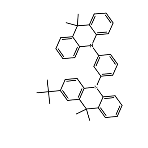 CC(C)(C)c1ccc2c(c1)C(C)(C)c1ccccc1N2c1cccc(N2c3ccccc3C(C)(C)c3ccccc32)c1